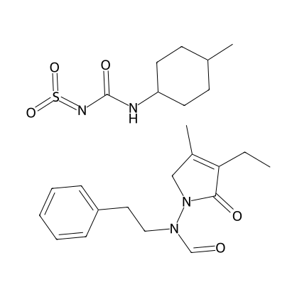 CC1CCC(NC(=O)N=S(=O)=O)CC1.CCC1=C(C)CN(N(C=O)CCc2ccccc2)C1=O